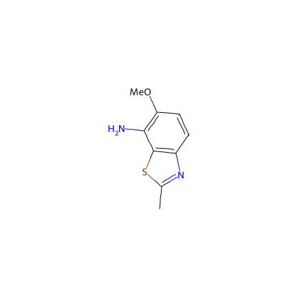 COc1ccc2nc(C)sc2c1N